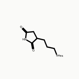 CCCCCCCCCC1CC(=O)NC1=O